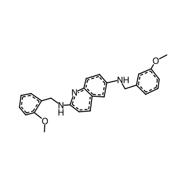 COc1cccc(CNc2ccc3nc(NCc4ccccc4OC)ccc3c2)c1